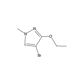 CCOc1nn(C)cc1Br